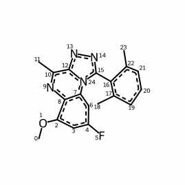 COc1cc(F)cc2c1nc(C)c1nnc(-c3c(C)cccc3C)n12